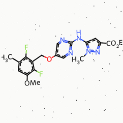 CCOC(=O)c1cc(Nc2ncc(OCc3c(F)c(C)cc(OC)c3F)cn2)n(C)n1